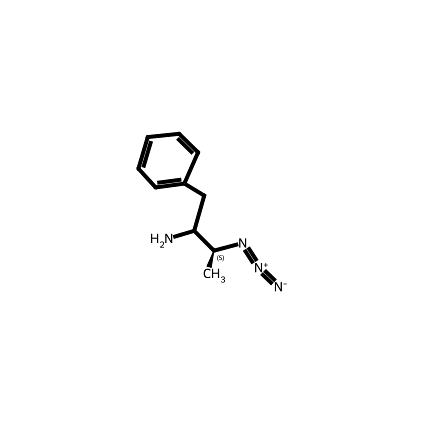 C[C@H](N=[N+]=[N-])C(N)Cc1ccccc1